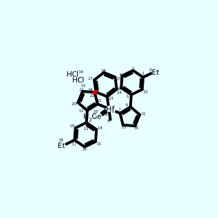 CCc1cccc(C2=[C]([Hf]([CH3])(=[GeH2])([C]3=C(c4cccc(CC)c4)C=CC3)[c]3ccccc3)CC=C2)c1.Cl.Cl